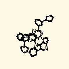 c1ccc(-c2cccc(-c3nc(-c4cccc(-c5ccccc5)c4)nc(-n4ccc5ncc6c7ccccc7n(-c7cccc(-c8ccccc8)n7)c6c54)n3)c2)cc1